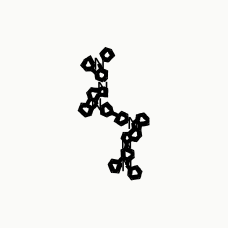 c1ccc(-n2c3ccccc3c3cc(-n4ccc5c4ccc4c6ccccc6n(-c6ccc(-c7ccc(-n8c9ccccc9c9ccc%10c(ccn%10-c%10ccc%11c(c%10)c%10ccccc%10n%11-c%10ccccc%10)c98)cc7)cc6)c45)ccc32)cc1